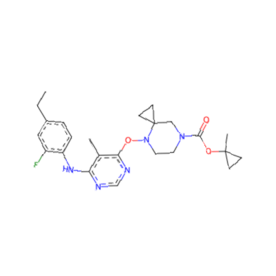 CCc1ccc(Nc2ncnc(ON3CCN(C(=O)OC4(C)CC4)CC34CC4)c2C)c(F)c1